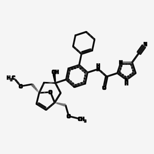 COC[C@@]12C=C[C@@](COC)(C[C@](O)(c3ccc(NC(=O)c4nc(C#N)c[nH]4)c(C4=CCCCC4)c3)C1)O2